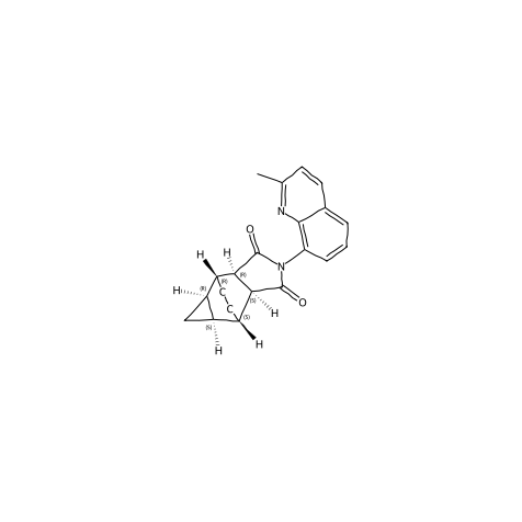 Cc1ccc2cccc(N3C(=O)[C@@H]4[C@@H]5CC[C@@H]([C@H]6C[C@H]65)[C@@H]4C3=O)c2n1